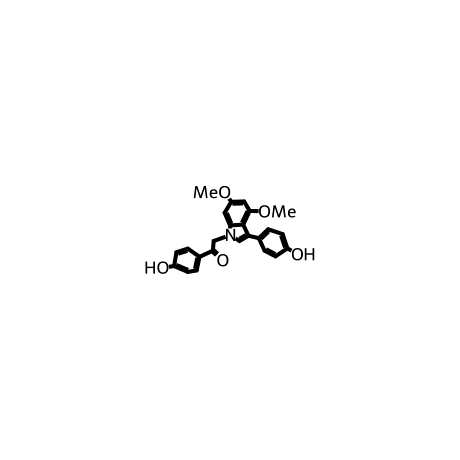 COc1cc(OC)c2c(-c3ccc(O)cc3)cn(CC(=O)c3ccc(O)cc3)c2c1